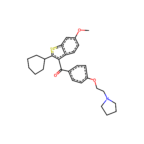 COc1ccc2c(C(=O)c3ccc(OCCN4CCCC4)cc3)c(C3CCCCC3)sc2c1